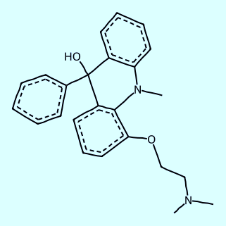 CN(C)CCOc1cccc2c1N(C)c1ccccc1C2(O)c1ccccc1